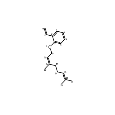 C=Cc1ccccc1OCC=C(C)CCC=C(C)C